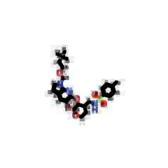 Cc1ccc(S(=O)(=O)NCC2CCOCC2Oc2nc3c(ccn3COCC[Si](C)(C)C)cc2Br)cc1